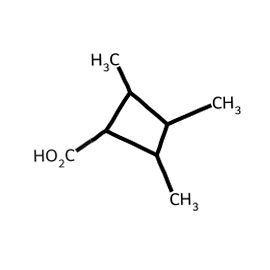 CC1C(C)C(C(=O)O)C1C